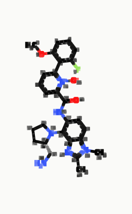 COc1cccc(F)c1-c1cccc(C(=O)Nc2ccc3c(nc(C)n3C)c2N2CCC[C@H]2CN)[n+]1[O-]